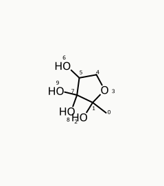 CC1(O)OCC(O)C1(O)O